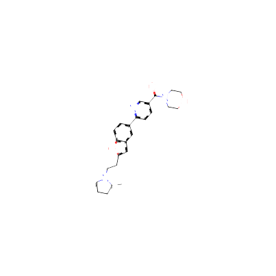 C[C@H]1CC[C@H](C)N1CCc1cc2cc(-c3ccc(C(=O)N4CCOCC4)cn3)ccc2o1